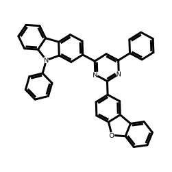 c1ccc(-c2cc(-c3ccc4c5ccccc5n(-c5ccccc5)c4c3)nc(-c3ccc4oc5ccccc5c4c3)n2)cc1